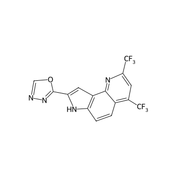 FC(F)(F)c1cc(C(F)(F)F)c2ccc3[nH]c(-c4nnco4)cc3c2n1